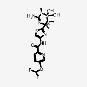 C[C@H]1[C@](C)(c2nc(NC(=O)c3ccc(OC(F)F)cn3)cs2)N=C(N)N(C)S1(O)O